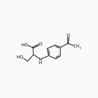 CC(=O)c1ccc(NC(CO)C(=O)O)cc1